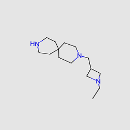 CCN1CC(CN2CCC3(CCNCC3)CC2)C1